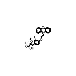 CCOC(C)(Cc1ccc(OCCN2c3ccccc3Oc3ccccc32)cc1)C(=O)O